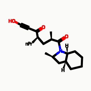 CCC[C@H](C[C@@H](C)C(=O)N1[C@H](C)C[C@@H]2CCCC[C@@H]21)C(=O)C#CO